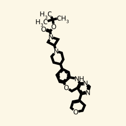 CC(C)(C)OC(=O)N1CC(N2CCC(c3ccc4c(c3)Nc3ncnc(C5=CCOCC5)c3CO4)CC2)C1